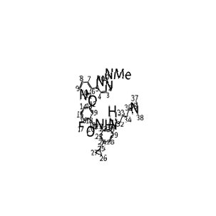 CNc1nccc(-c2cccnc2Oc2ccc(F)c(C(=O)Nc3cc(C4CC4)ccc3NCCCCN(C)C)c2)n1